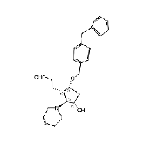 O=CCC[C@H]1[C@H](N2CCSCC2)[C@@H](O)C[C@H]1OCc1ccc(Cc2ccccc2)cc1